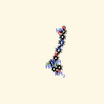 NC(=O)c1ccc(Nc2nc(Nc3ccc(OCC4CCN(CCN5CCN(c6ccc(C7CCC(=O)NC7=O)cc6)CC5)CC4)cc3)ncc2F)cc1-c1ccccc1Cl